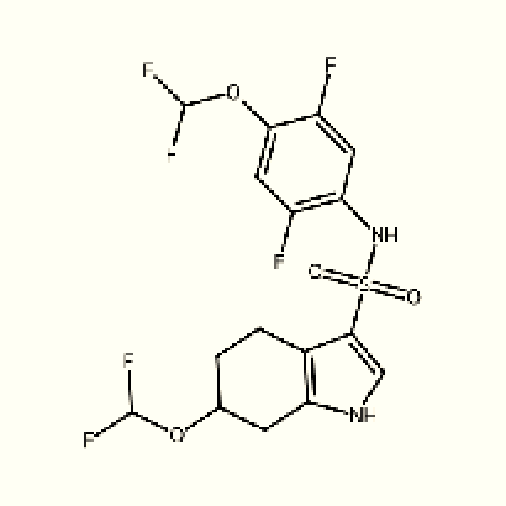 O=S(=O)(Nc1cc(F)c(OC(F)F)cc1F)c1c[nH]c2c1CCC(OC(F)F)C2